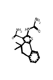 CC1(C)Cc2ccccc2-c2sc(NC(N)=O)c(C(N)=O)c21